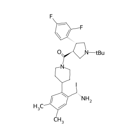 Cc1cc(C2CCN(C(=O)[C@@H]3CN(C(C)(C)C)C[C@H]3c3ccc(F)cc3F)CC2)c([C@@H](N)I)cc1C